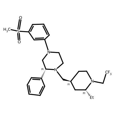 CC[C@@H]1C[C@@H](CN2CCN(c3cccc(S(C)(=O)=O)c3)C[C@H]2c2ccccc2)CCN1CC(F)(F)F